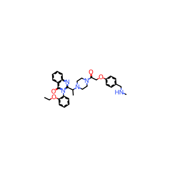 CCOc1ccccc1-n1c(C(C)N2CCN(C(=O)COc3ccc(CNC)cc3)CC2)nc2ccccc2c1=O